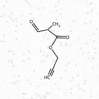 C#CCOC(=O)C(C)C=O